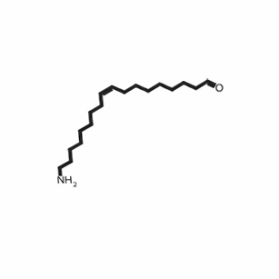 NCCCCCCCC/C=C\CCCCCCC[C]=O